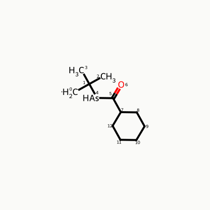 [CH2]C(C)(C)[AsH]C(=O)C1CCCCC1